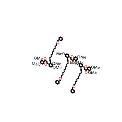 COc1cc(OC)c2c(=O)cc(-c3ccc(OC)c(OC)c3C#CCCCCCCCCCCCOCc3ccccc3)oc2c1.COc1ccc(-c2cc(=O)c3c(OC)cc(OC)cc3o2)c(C#CCCCCCCCCCCCOCc2ccccc2)c1.COc1ccc(-c2cc(=O)c3c(OC)cc(OC)cc3o2)c(C#CCCCCCCCCCCOCc2ccccc2)c1